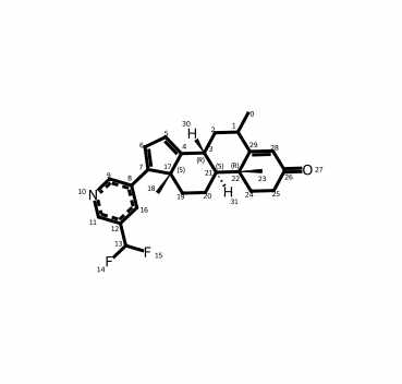 CC1C[C@H]2C3=CC=C(c4cncc(C(F)F)c4)[C@@]3(C)CC[C@@H]2[C@@]2(C)CCC(=O)C=C12